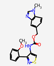 COc1ccccc1-c1nscc1NC(=O)OCc1ccc2c(c1)ncn2C